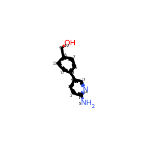 Nc1ccc(-c2ccc(CO)cc2)cn1